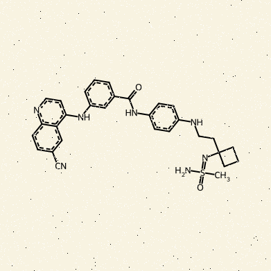 CS(N)(=O)=NC1(CCNc2ccc(NC(=O)c3cccc(Nc4ccnc5ccc(C#N)cc45)c3)cc2)CCC1